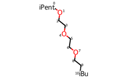 CCCC(C)OCCOCCOCCC(C)CC